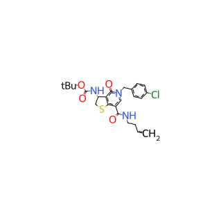 C=CCCNC(=O)c1cn(Cc2ccc(Cl)cc2)c(=O)c2c1SC[C@@H]2NC(=O)OC(C)(C)C